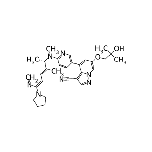 C=N/C(=C\C=C(/C)[C@H](C)N(C)c1ccc(-c2cc(OCC(C)(C)O)cn3ncc(C#N)c23)cn1)N1CCCC1